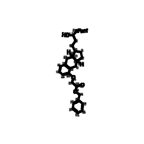 CCCCC[C@H](O)CC[C@H]1CC[C@@H]2Cc3c(cccc3OCC(=O)OCc3ccccc3)C[C@H]12